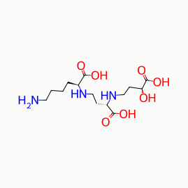 NCCCC[C@H](NCC[C@H](NCC[C@H](O)C(=O)O)C(=O)O)C(=O)O